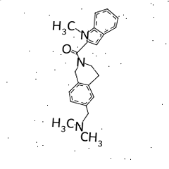 CN(C)Cc1ccc2c(c1)CCN(C(=O)c1cc3ccccc3n1C)C2